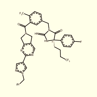 CC(C)Cn1cc(-c2ncc3c(n2)CN(C(=O)c2cc(CN4C(=N)N[C@](CCCC(F)(F)F)(c5ccc(F)cc5)C4=O)ccc2C(F)(F)F)C3)cn1